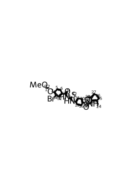 COCCOc1ccc(C(=O)NC(=S)Nc2ccc(S(=O)(=O)Nc3c(C)cccc3C)cc2)cc1Br